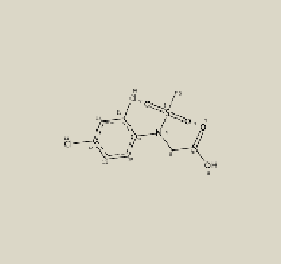 CS(=O)(=O)N(CC(=O)O)c1ccc(Cl)cc1Cl